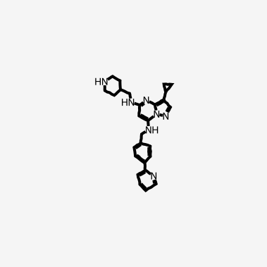 c1ccc(-c2ccc(CNc3cc(NCC4CCNCC4)nc4c(C5CC5)cnn34)cc2)nc1